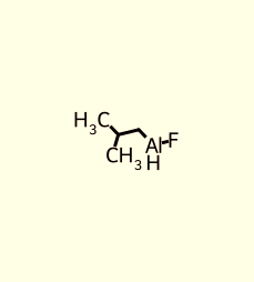 CC(C)[CH2][AlH][F]